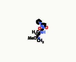 C=N/C(=C\C=C(/C)NC(=O)Cn1nc(N2CCCCC2)ccc1=O)OC